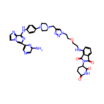 Nc1cncc(-c2cn3ccnc3c(Nc3ccc(N4CCN(Cc5cn(CCOCCNc6cccc7c6C(=O)N(C6CCC(=O)NC6=O)C7=O)nn5)CC4)cc3)n2)n1